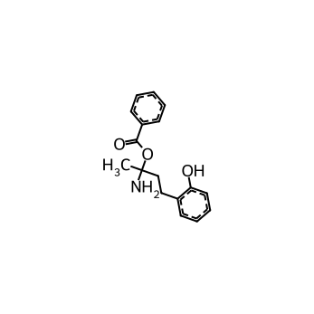 CC(N)(CCc1ccccc1O)OC(=O)c1ccccc1